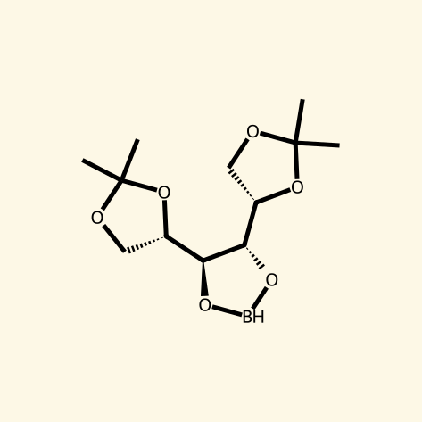 CC1(C)OC[C@@H]([C@@H]2OBO[C@H]2[C@@H]2COC(C)(C)O2)O1